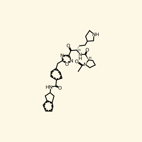 CC(=O)N1CCC[C@@H]1C(=O)N[C@@H](CCC1CCNC1)C(=O)c1noc(Cc2ccc(C(=O)NC3Cc4ccccc4C3)cc2)n1